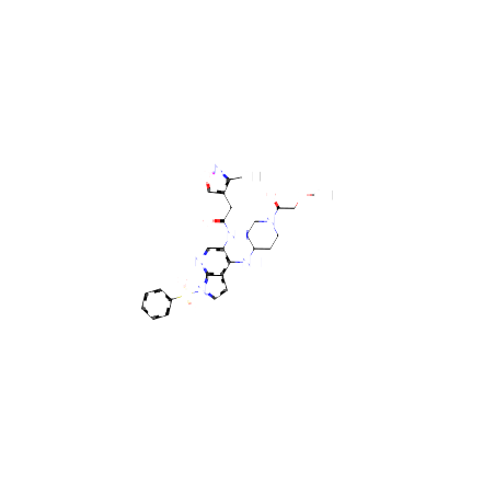 COCC(=O)N1CCC(Nc2c(NC(=O)Cc3conc3C)cnc3c2ccn3S(=O)(=O)c2ccccc2)CC1